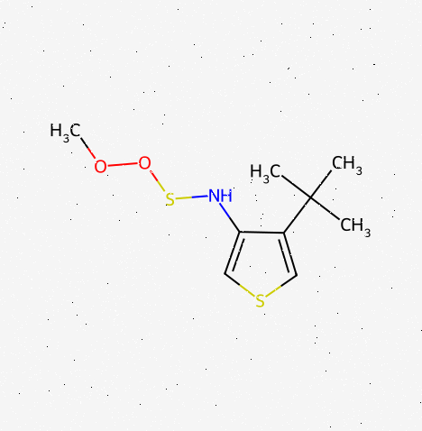 COOSNc1cscc1C(C)(C)C